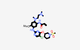 C=CC(=O)Nc1cc(Nc2ncc(Cl)c(O[C@H]3CCCN(S(C)(=O)=O)C3)n2)c(OC)cc1N(C)CCN(C)C